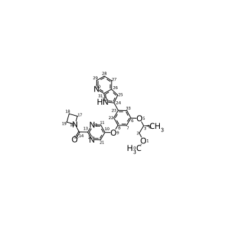 COC[C@H](C)Oc1cc(Oc2cnc(C(=O)N3CCC3)nc2)cc(-c2cc3cccnc3[nH]2)c1